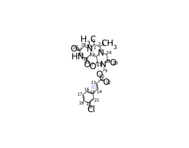 CC(C(C)N1CC(=O)N(COC(=O)/C=C/c2cccc(Cl)c2)C(=O)C1)N1CC(=O)NC(=O)C1